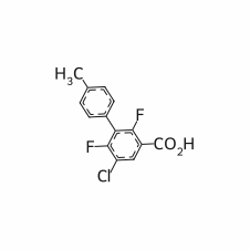 Cc1ccc(-c2c(F)c(Cl)cc(C(=O)O)c2F)cc1